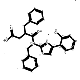 O=C(O)CC(Cc1ccccc1)C(=O)N(Cc1ccccc1)c1nc(-c2ccccc2Cl)cs1